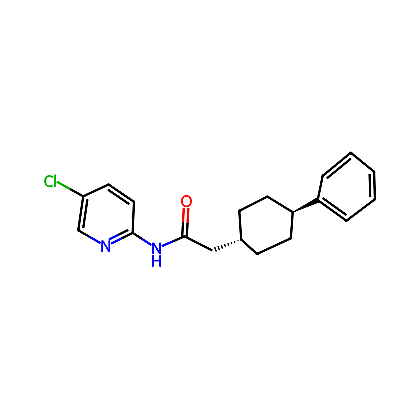 O=C(C[C@H]1CC[C@H](c2ccccc2)CC1)Nc1ccc(Cl)cn1